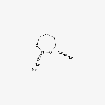 O=[PH]1OCCCCO1.[Na].[Na].[Na].[Na].[Na]